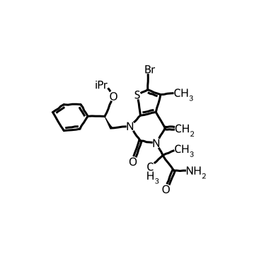 C=C1c2c(sc(Br)c2C)N(C[C@H](OC(C)C)c2ccccc2)C(=O)N1C(C)(C)C(N)=O